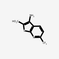 Nc1c(C(=O)O)sc2nc(C(F)(F)F)ccc12